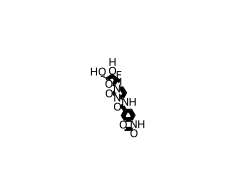 O=C1COc2cc(C(=O)Nc3ccn(C4O[C@H](CO)[C@@H](O)C4(F)I)c(=O)n3)ccc2N1